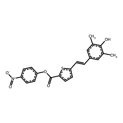 Cc1cc(/C=C/c2ccc(C(=O)Oc3ccc([N+](=O)[O-])cc3)s2)cc(C)c1O